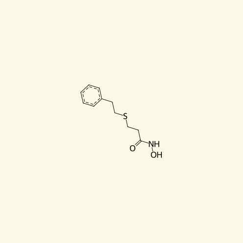 O=C(CCSCCc1ccccc1)NO